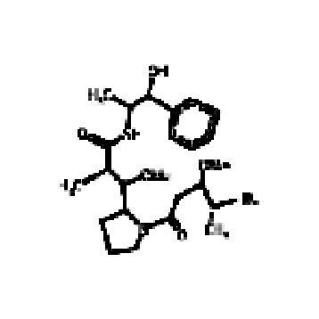 CC[C@H](C)[C@H](C)C(CC(=O)N1CCC[C@H]1C(OC)[C@@H](C)C(=O)NC(C)[C@@H](O)c1ccccc1)OC